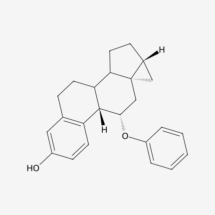 Oc1ccc2c(c1)CCC1C3CC[C@@H]4C[C@]34C[C@H](Oc3ccccc3)[C@H]21